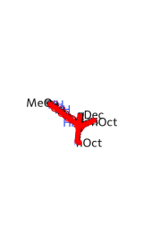 CCCCCCCC/C=C\CCCCCCCCOCC(OCCCCCCCC/C=C\CCCCCCCC)C(CCCCCCCCCCCCCCCC)OC(=O)NCCOCCOCCOCCOC(=O)CNCCOC(=O)CNCCOC